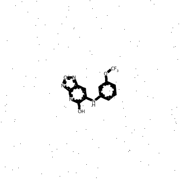 Oc1nc2nonc2cc1Nc1cccc(OC(F)(F)F)c1